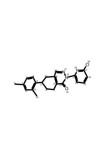 Cc1ccc(C2CCc3c(cnn(-c4cccc(Cl)n4)c3=O)C2)c(C)c1